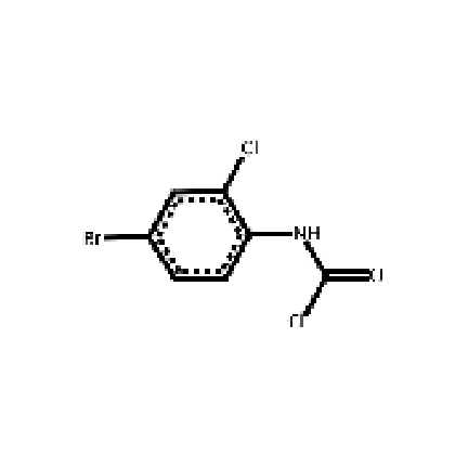 O=C(Cl)Nc1ccc(Br)cc1Cl